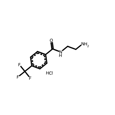 Cl.NCCNC(=O)c1ccc(C(F)(F)F)cc1